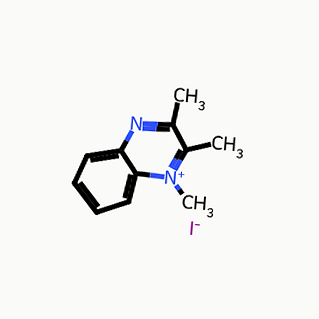 Cc1nc2ccccc2[n+](C)c1C.[I-]